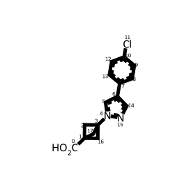 O=C(O)C12CC(n3cc(-c4ccc(Cl)cc4)cn3)(C1)C2